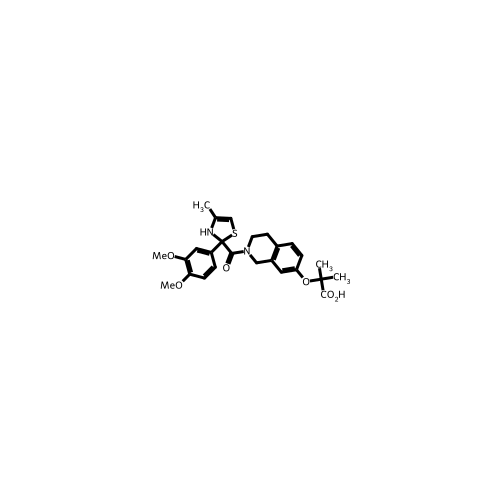 COc1ccc(C2(C(=O)N3CCc4ccc(OC(C)(C)C(=O)O)cc4C3)NC(C)=CS2)cc1OC